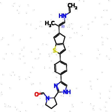 C=CN/C=C(\C)C1=Cc2sc(-c3ccc(-c4c[nH]c(C5CCCN5C=O)n4)cc3)cc2C1